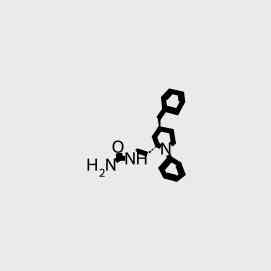 NC(=O)NCC[C@@H]1C[C@@H](Cc2ccccc2)CCN1c1ccccc1